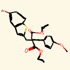 CCOC(=O)C(Cc1cc2cc(Br)ccc2s1)(C(=O)OCC)c1ccc(OC)cc1